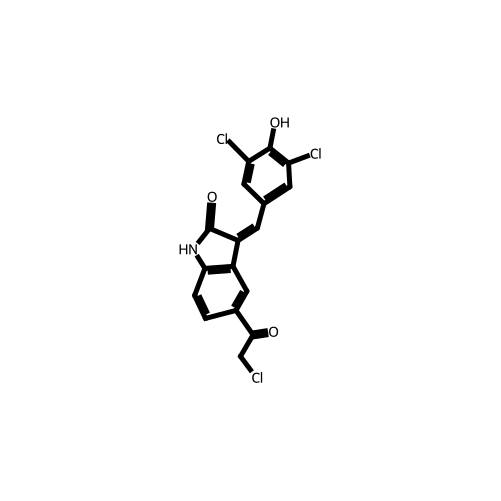 O=C1Nc2ccc(C(=O)CCl)cc2/C1=C/c1cc(Cl)c(O)c(Cl)c1